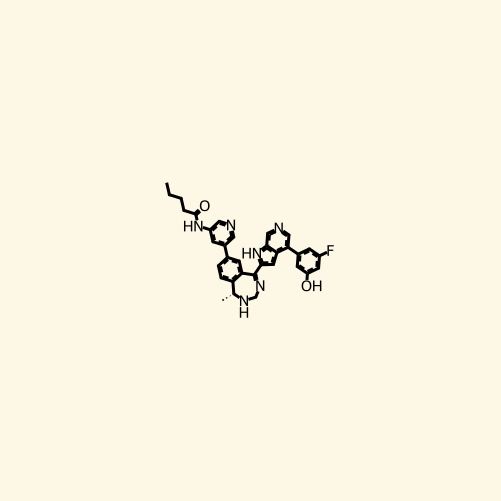 CCCCC(=O)Nc1cncc(-c2ccc3c(c2)C(c2cc4c(-c5cc(O)cc(F)c5)cncc4[nH]2)=NCN[C@@H]3C)c1